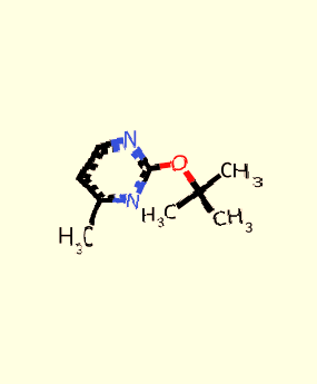 Cc1ccnc(OC(C)(C)C)n1